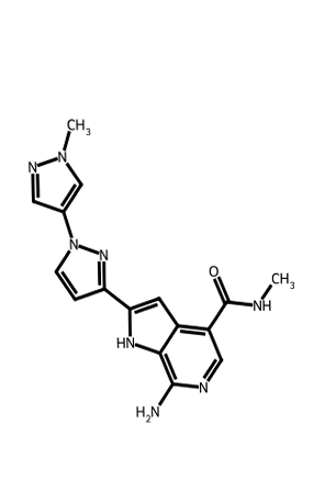 CNC(=O)c1cnc(N)c2[nH]c(-c3ccn(-c4cnn(C)c4)n3)cc12